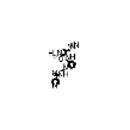 CC(CN=[N+]=[N-])[C@H](NCc1ccccc1/N=C/CNC(=O)c1ccncc1)C(N)=O